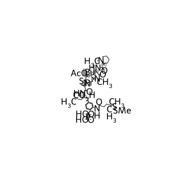 CC[C@H](C)[C@H](NC(=O)[C@H]1CCCCN1C)C(=O)N(C)[C@H](C[C@@H](OC(C)=O)c1nc(C(=O)N[C@@H](Cc2ccc(OP(=O)(O)O)c(NC(=O)CCC(C)(C)SSC)c2)CC(C)C(=O)O)cs1)C(C)C